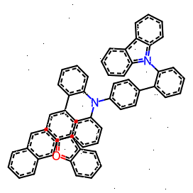 c1cc(-c2ccc3ccccc3c2)cc(N(c2ccc(-c3ccccc3-n3c4ccccc4c4ccccc43)cc2)c2ccccc2-c2ccc3oc4ccccc4c3c2)c1